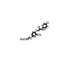 COCCOc1ccc(OCC(=O)Nc2ccc(Cl)cn2)c(C#N)n1